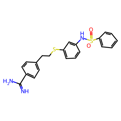 N=C(N)c1ccc(CCSc2cccc(NS(=O)(=O)c3ccccc3)c2)cc1